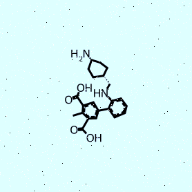 Cc1c(C(=O)O)cc(-c2ccccc2NC[C@H]2CC[C@@H](N)CC2)cc1C(=O)O